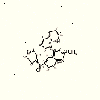 Cc1cc(-c2cccc3cccnc23)c2cc(C(=O)N3CCOCC3)ccc2n1